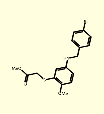 COC(=O)CSc1cc(NCc2ccc(Br)cc2)ccc1OC